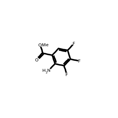 COC(=O)c1cc(F)c(F)c(F)c1N